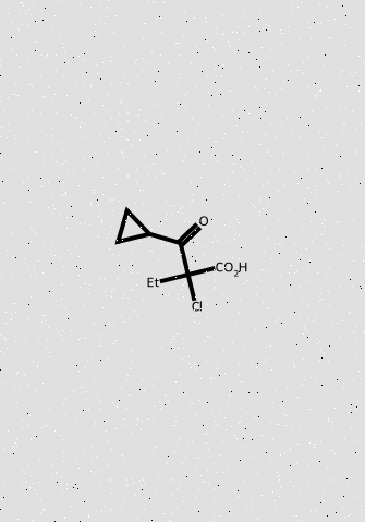 CCC(Cl)(C(=O)O)C(=O)C1CC1